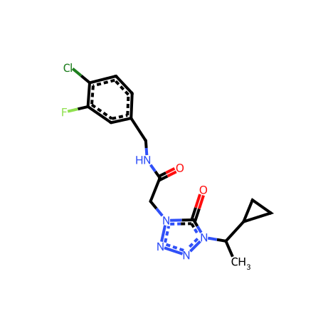 CC(C1CC1)n1nnn(CC(=O)NCc2ccc(Cl)c(F)c2)c1=O